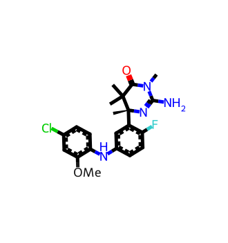 COc1cc(Cl)ccc1Nc1ccc(F)c([C@@]2(C)N=C(N)N(C)C(=O)C2(C)C)c1